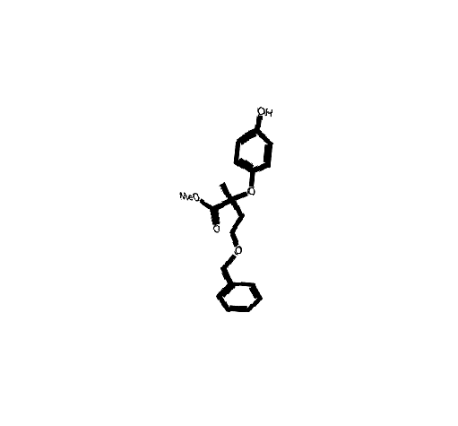 COC(=O)C(C)(CCOCc1ccccc1)Oc1ccc(O)cc1